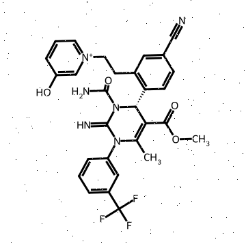 COC(=O)C1=C(C)N(c2cccc(C(F)(F)F)c2)C(=N)N(C(N)=O)[C@@H]1c1ccc(C#N)cc1CC[n+]1cccc(O)c1